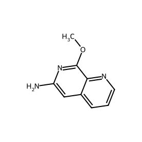 COc1nc(N)cc2cccnc12